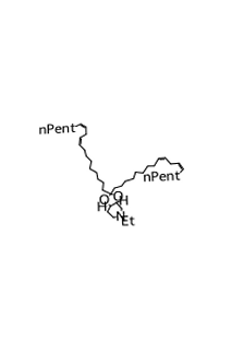 CCCCC/C=C\C/C=C\CCCCCCCCC1(CCCCCCCC/C=C\C/C=C\CCCCC)O[C@@H]2CCN(CC)C[C@H]2O1